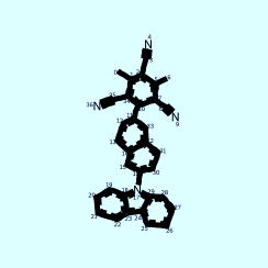 Cc1c(C#N)c(C)c(C#N)c(-c2ccc3cc(-n4c5ccccc5c5ccccc54)ccc3c2)c1C#N